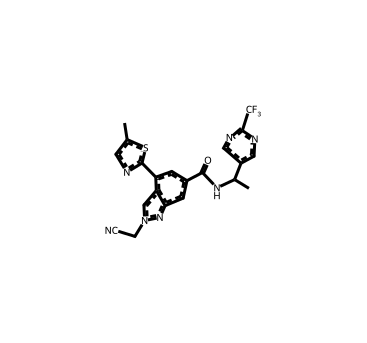 Cc1cnc(-c2cc(C(=O)NC(C)c3cnc(C(F)(F)F)nc3)cc3nn(CC#N)cc23)s1